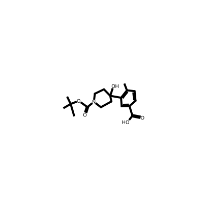 Cc1ccc(C(=O)O)cc1C1(O)CCN(C(=O)OC(C)(C)C)CC1